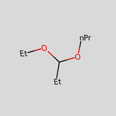 CCCOC(CC)OCC